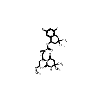 COCC[C@@H]([C@@H]1C[C@H]1C(=O)NC1CC(C)(C)Oc2c(F)cc(F)cc21)N1C(=N)NC(C)(C)CC1=O